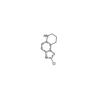 Clc1nc2ccc3c(c2s1)CCCN3